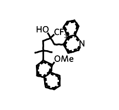 COc1c(C(C)(C)CC(O)(Cc2ccnc3ccccc23)C(F)(F)F)ccc2ccccc12